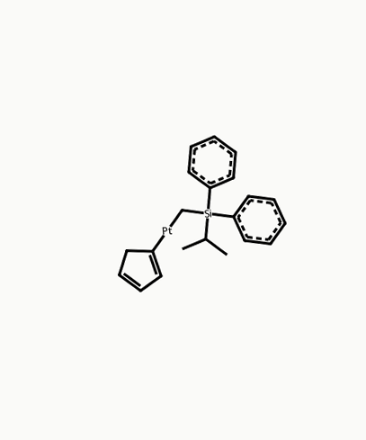 CC(C)[Si]([CH2][Pt][C]1=CC=CC1)(c1ccccc1)c1ccccc1